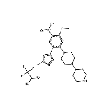 COc1cc(N2CCN(C3CCNCC3)CC2)c(-c2cnn(C)c2)cc1[N+](=O)[O-].O=C(O)C(F)(F)F